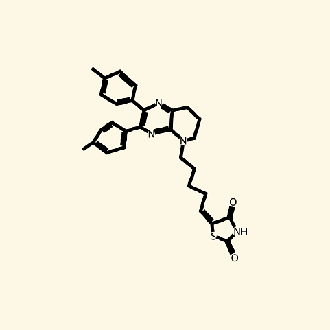 Cc1ccc(-c2nc3c(nc2-c2ccc(C)cc2)N(CCCC/C=C2/SC(=O)NC2=O)CCC3)cc1